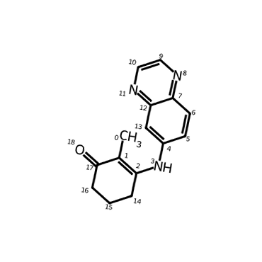 CC1=C(Nc2ccc3nccnc3c2)CCCC1=O